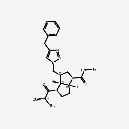 CC(C)NC(=O)N1C[C@H](Cn2cc(Cc3ccccc3)nn2)[C@@H]2[C@H]1CCN2C(=O)[C@@H](N)C(C)(C)C